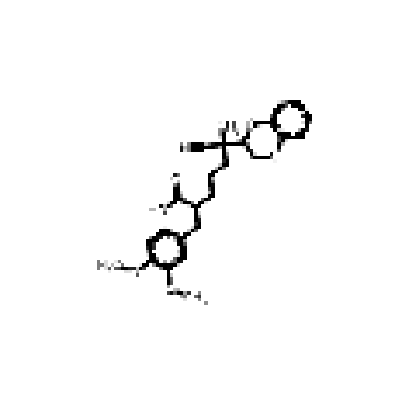 COc1ccc(CC(CCCC(C)(C#N)C2COc3ccccc3O2)C(=O)O)cc1OC